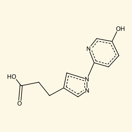 O=C(O)CCc1cnn(-c2ccc(O)cn2)c1